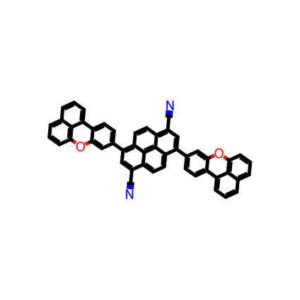 N#Cc1cc(-c2ccc3c(c2)Oc2cccc4cccc-3c24)c2ccc3c(C#N)cc(-c4ccc5c(c4)Oc4cccc6cccc-5c46)c4ccc1c2c34